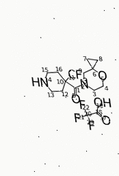 O=C(N1CCOC2(CC2)C1)C1(C(F)(F)F)CCNCC1.O=C(O)C(F)(F)F